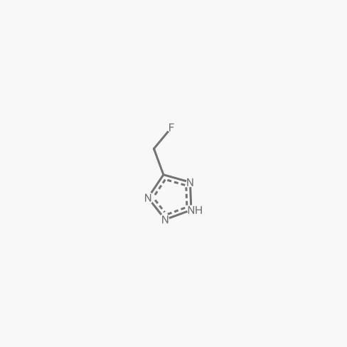 FCc1nn[nH]n1